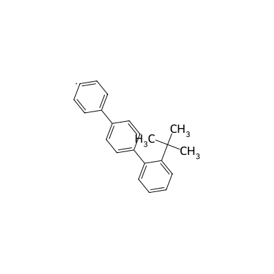 CC(C)(C)c1ccccc1-c1ccc(-c2cc[c]cc2)cc1